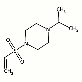 C=CS(=O)(=O)N1CCN(C(C)C)CC1